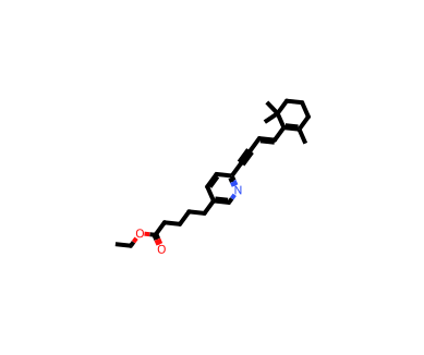 CCOC(=O)CCCCc1ccc(C#CC=CC2=C(C)CCCC2(C)C)nc1